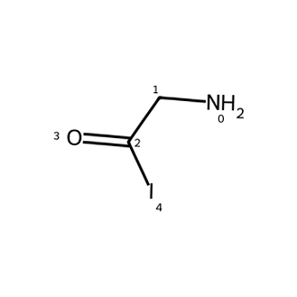 NCC(=O)I